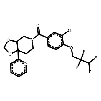 O=C(c1ccc(OCC(F)(F)C(F)F)c(Cl)c1)N1CCC2(c3ccccn3)OCOC2C1